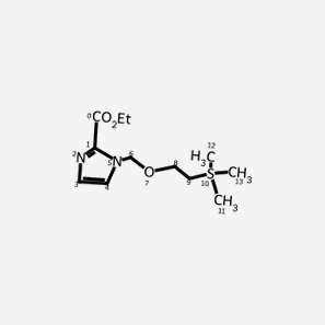 CCOC(=O)c1nccn1COCCS(C)(C)C